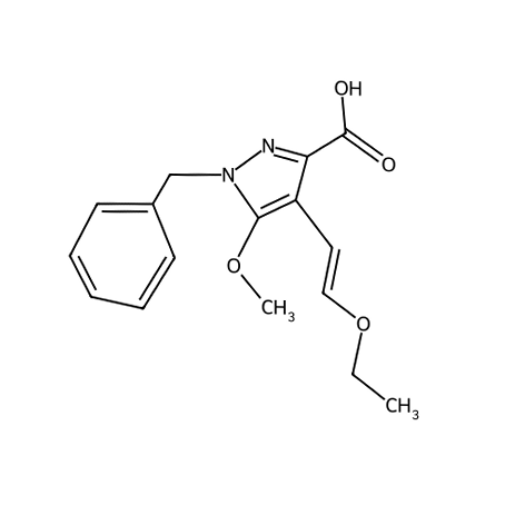 CCOC=Cc1c(C(=O)O)nn(Cc2ccccc2)c1OC